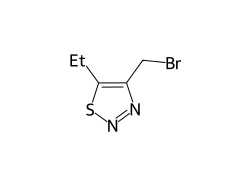 CCc1snnc1CBr